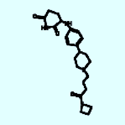 O=C1CCC(Nc2ccc(C3CCN(CCCC(=O)N4CCC4)CC3)cc2)C(=O)N1